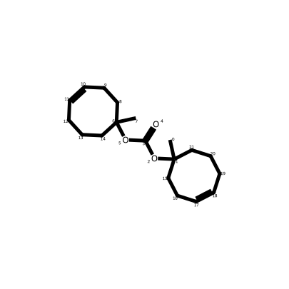 CC1(OC(=O)OC2(C)CC/C=C\CCC2)CC/C=C\CCC1